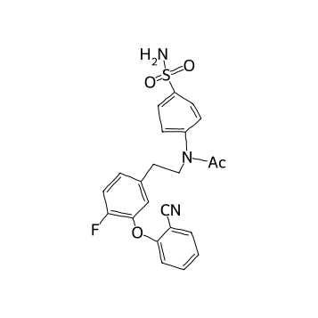 CC(=O)N(CCc1ccc(F)c(Oc2ccccc2C#N)c1)c1ccc(S(N)(=O)=O)cc1